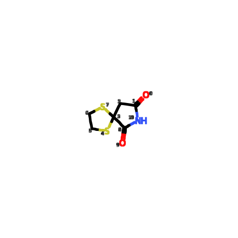 O=C1CC2(SCCS2)C(=O)N1